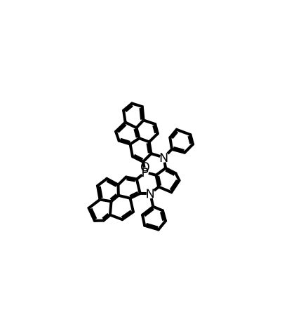 O=P12c3cc4ccc5cccc6ccc(c3N(c3ccccc3)c3cccc(c31)N(c1ccccc1)c1c2cc2ccc3cccc7ccc1c2c37)c4c56